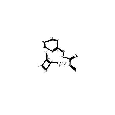 C=CC(=O)OCC1=CCCCC1.CC1=C(C(=O)O)CC1